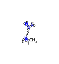 Cc1cccc(-c2cc(-c3ccc(-c4ccc(-c5ccc(-n6c7ccc(-n8c9ccccc9c9ccccc98)cc7c7cc(-n8c9ccccc9c9ccccc98)ccc76)cc5)cc4)cc3)nc(-c3cccc(C)c3)n2)c1